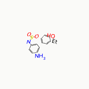 CCO.N.O=S(=O)=Nc1ccccc1.c1ccccc1